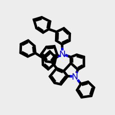 c1ccc(-c2cccc(N(c3cccc(-c4ccccc4)c3)c3cccc4c3c3c(-c5ccccc5)cccc3n4-c3ccccc3)c2)cc1